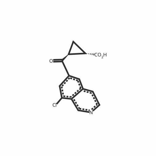 O=C(O)[C@H]1C[C@@H]1C(=O)c1cc(Cl)c2cnccc2c1